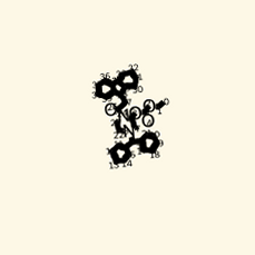 CCOC(=O)OC1CN(C(c2ccccc2)c2ccccc2)CCN1C(=O)CC1c2ccccc2-c2ccccc21